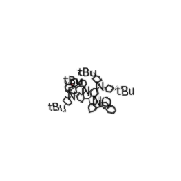 CC(C)(C)c1ccc(N(c2ccc(C(C)(C)C)cc2)c2ccc3c(c2)N(c2cccc4oc5ccccc5c24)c2cc(N(c4ccc(C(C)(C)C)cc4)c4ccc(C(C)(C)C)cc4)cc4c2C3c2cccc3c5c6ccccc6oc5n-4c23)cc1